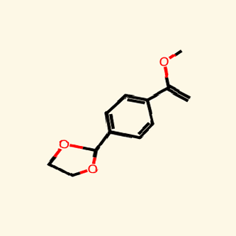 C=C(OC)c1ccc(C2OCCO2)cc1